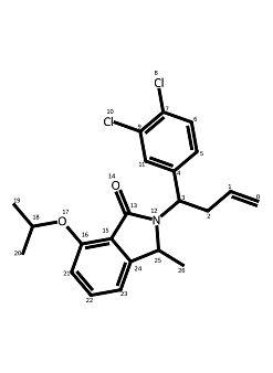 C=CCC(c1ccc(Cl)c(Cl)c1)N1C(=O)c2c(OC(C)C)cccc2C1C